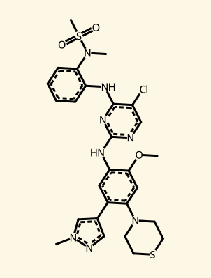 COc1cc(N2CCSCC2)c(-c2cnn(C)c2)cc1Nc1ncc(Cl)c(Nc2ccccc2N(C)S(C)(=O)=O)n1